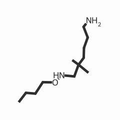 CCCCONCC(C)(C)CCCCN